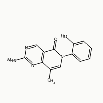 CSc1ncc2c(=O)n(-c3ccccc3O)cc(C)c2n1